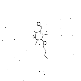 CCCCOc1c(C)ncc(C=O)c1C